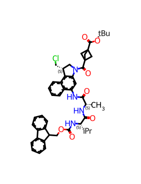 CC(C)[C@H](NC(=O)OCC1c2ccccc2-c2ccccc21)C(=O)N[C@@H](C)C(=O)Nc1cc2c(c3ccccc13)[C@H](CCl)CN2C(=O)C12CC(C(=O)OC(C)(C)C)(C1)C2